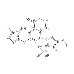 CCn1cc(-c2cc(Cn3ccn(C)c3=N)cc3c2OCCC3=O)c(C(F)(F)F)n1